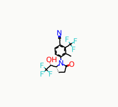 Cc1c(N2C(=O)CC[C@@H]2[C@@H](O)C(F)(F)F)ccc(C#N)c1C(F)(F)F